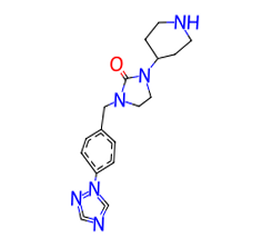 O=C1N(Cc2ccc(-n3cncn3)cc2)CCN1C1CCNCC1